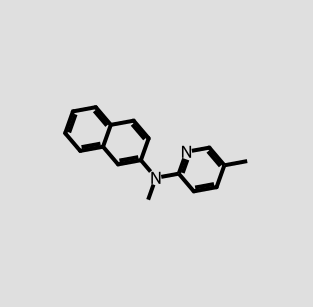 Cc1ccc(N(C)c2ccc3ccccc3c2)nc1